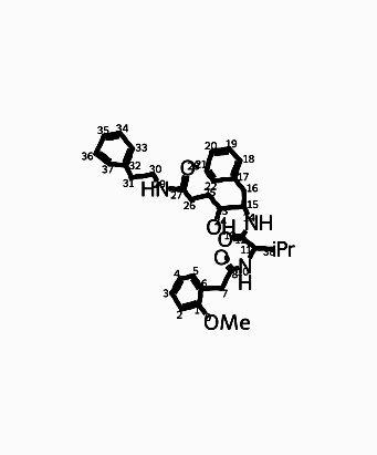 COc1ccccc1CC(=O)NC(C(=O)NC(Cc1ccccc1)C(O)CCC(=O)NCCc1ccccc1)C(C)C